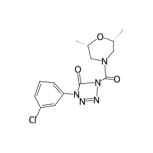 C[C@@H]1CN(C(=O)n2nnn(-c3cccc(Cl)c3)c2=O)C[C@H](C)O1